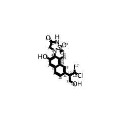 O=C1CN(c2c(O)cc3ccc(C(CO)C(Cl)I)cc3c2F)S(=O)(=O)N1